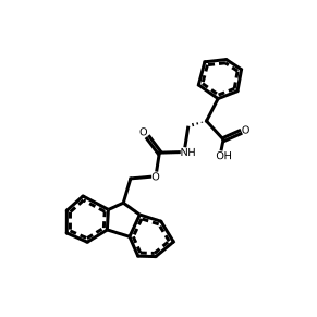 O=C(NC[C@@H](C(=O)O)c1ccccc1)OCC1c2ccccc2-c2ccccc21